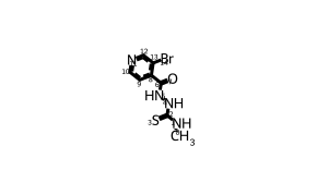 CNC(=S)NNC(=O)c1ccncc1Br